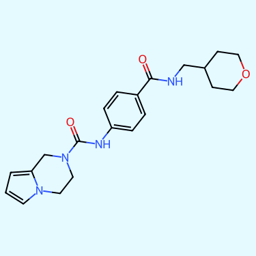 O=C(NCC1CCOCC1)c1ccc(NC(=O)N2CCn3cccc3C2)cc1